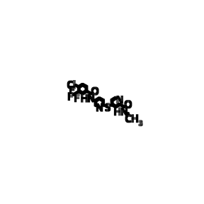 CCNC(=O)c1cc(Sc2ccc(NC(=O)c3ccc(Cl)c(C(F)(F)F)c3)cn2)ccn1